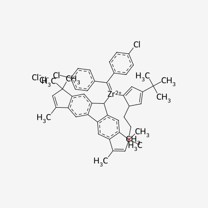 CCCC1C=C(C(C)(C)C)C=[C]1[Zr+2](=[C](c1ccc(Cl)cc1)c1ccc(Cl)cc1)[CH]1c2cc3c(cc2-c2cc4c(cc21)C(C)(C)C=C4C)C(C)=CC3(C)C.[Cl-].[Cl-]